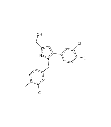 Cc1ccc(Cn2nc(CO)cc2-c2ccc(Cl)c(Cl)c2)cc1Cl